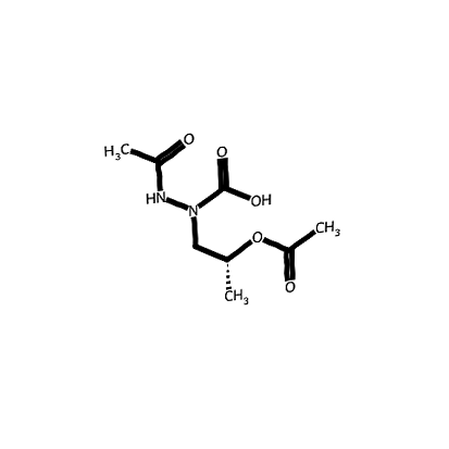 CC(=O)NN(C[C@@H](C)OC(C)=O)C(=O)O